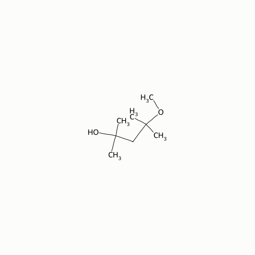 COC(C)(C)CC(C)(C)O